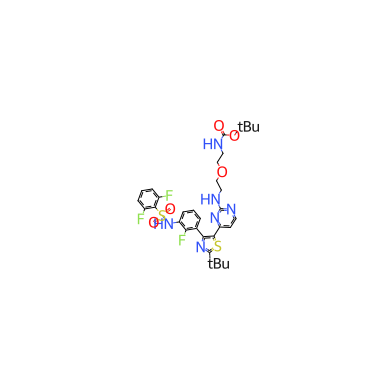 CC(C)(C)OC(=O)NCCOCCNc1nccc(-c2sc(C(C)(C)C)nc2-c2cccc(NS(=O)(=O)c3c(F)cccc3F)c2F)n1